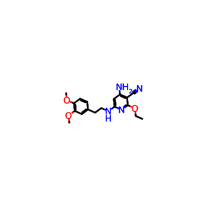 CCOc1nc(NCCc2ccc(OC)c(OC)c2)cc(N)c1C#N